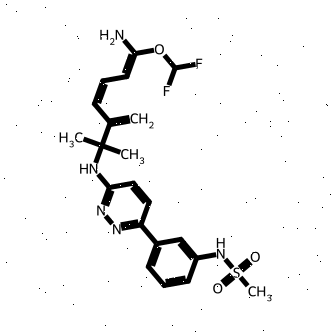 C=C(/C=C\C=C(/N)OC(F)F)C(C)(C)Nc1ccc(-c2cccc(NS(C)(=O)=O)c2)nn1